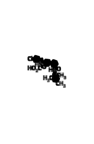 Cc1cc(C)c(CCNC(=O)c2cccc(-c3ccc(C(Cc4ccc(Cl)cc4)NC(=O)C(=O)O)cc3)c2)c(C)c1